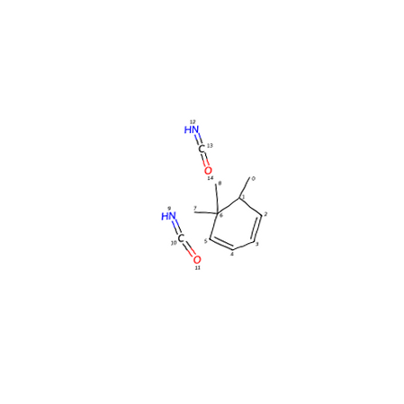 CC1C=CC=CC1(C)C.N=C=O.N=C=O